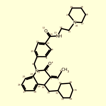 CC=C1C(=O)N(Cc2ccc(C(=O)NCCN3CCCCC3)cc2)c2ccccc2C1CC1CCCCC1